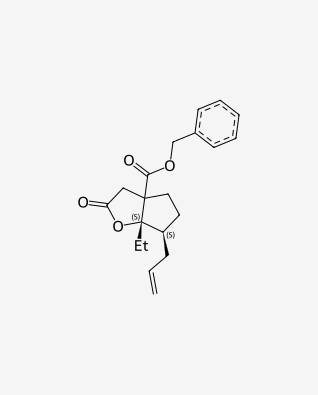 C=CC[C@@H]1CCC2(C(=O)OCc3ccccc3)CC(=O)O[C@@]12CC